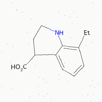 CCc1cccc2c1NCCC2C(=O)O